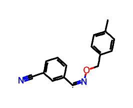 Cc1ccc(CO/N=[C]\c2cccc(C#N)c2)cc1